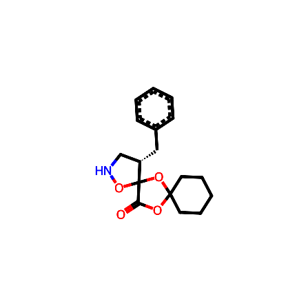 O=C1OC2(CCCCC2)OC12ONC[C@@H]2Cc1ccccc1